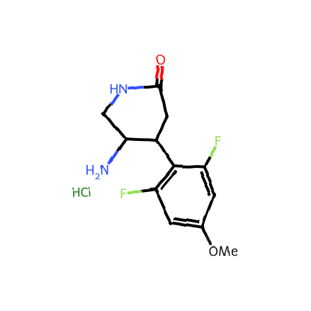 COc1cc(F)c(C2CC(=O)NCC2N)c(F)c1.Cl